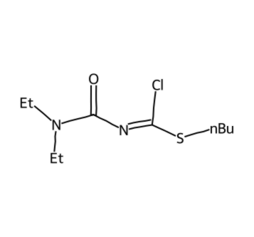 CCCCS/C(Cl)=N/C(=O)N(CC)CC